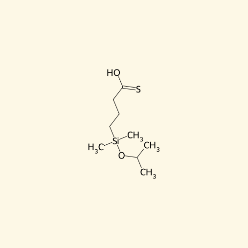 CC(C)O[Si](C)(C)CCCC(O)=S